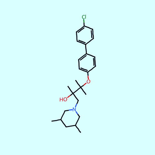 CC1CC(C)CN(CC(C)(O)C(C)(C)Oc2ccc(-c3ccc(Cl)cc3)cc2)C1